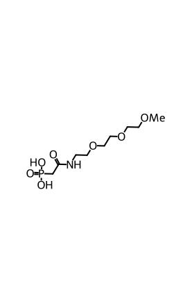 COCCOCCOCCNC(=O)CP(=O)(O)O